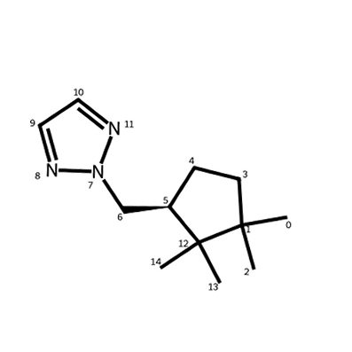 CC1(C)CC[C@H](Cn2nccn2)C1(C)C